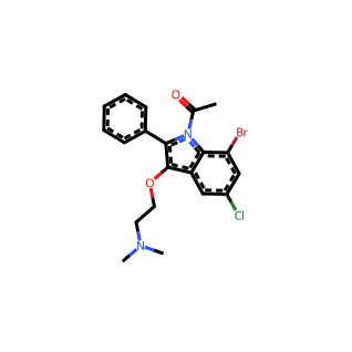 CC(=O)n1c(-c2ccccc2)c(OCCN(C)C)c2cc(Cl)cc(Br)c21